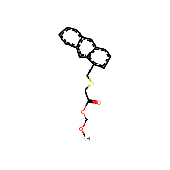 COCOC(=O)CSCc1cccc2cc3ccccc3cc12